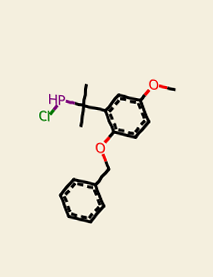 COc1ccc(OCc2ccccc2)c(C(C)(C)PCl)c1